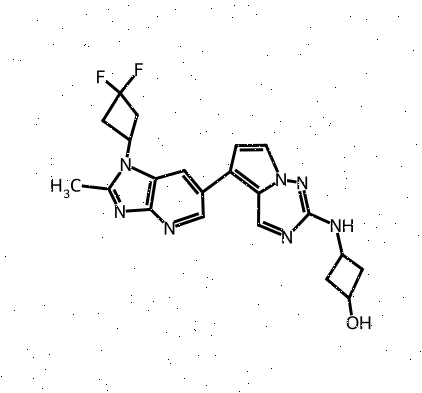 Cc1nc2ncc(-c3ccn4nc(NC5CC(O)C5)ncc34)cc2n1C1CC(F)(F)C1